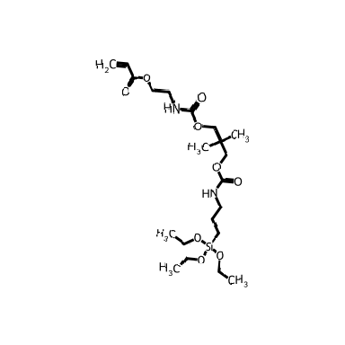 C=CC(=O)OCCNC(=O)OCC(C)(C)COC(=O)NCCC[Si](OCC)(OCC)OCC